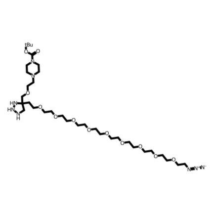 CC(C)(C)OC(=O)N1CCN(CCOCC2(CCOCCOCCOCCOCCOCCOCCOCCOCCOCCN=[N+]=[N-])CNNN2)CC1